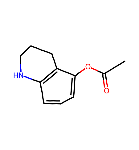 CC(=O)Oc1cccc2c1CCCN2